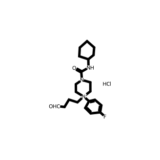 Cl.O=CCCC[N+]1(c2ccc(F)cc2)CCN(C(=O)NC2CCCCC2)CC1